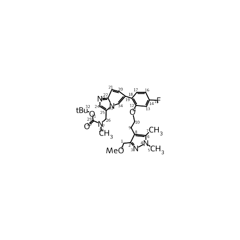 COCc1nn(C)c(C)c1CCOc1cc(F)ccc1-c1ccc2ncc(CN(C)C(=O)OC(C)(C)C)n2c1